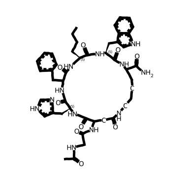 CCCC[C@@H]1NC(=O)C(Cc2ccccc2)NC(=O)[C@H](Cc2c[nH]cn2)NC(=O)C(NC(=O)CNC(C)=O)CC(=O)NCCCCC(C(N)=O)NC(=O)[C@H](Cc2c[nH]c3ccccc23)NC1=O